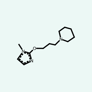 Cn1ccnc1OCCCN1CCCCC1